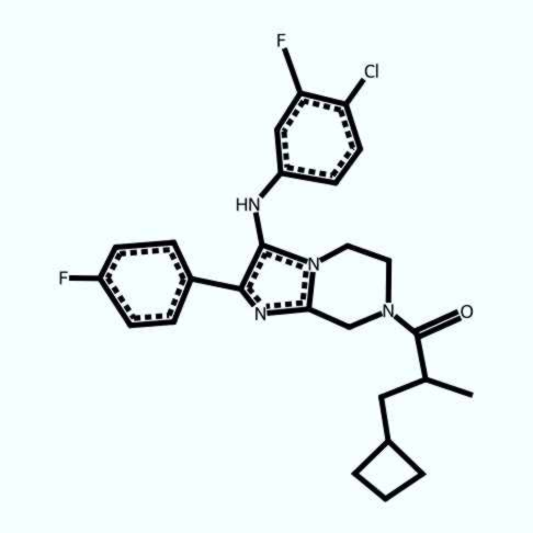 CC(CC1CCC1)C(=O)N1CCn2c(nc(-c3ccc(F)cc3)c2Nc2ccc(Cl)c(F)c2)C1